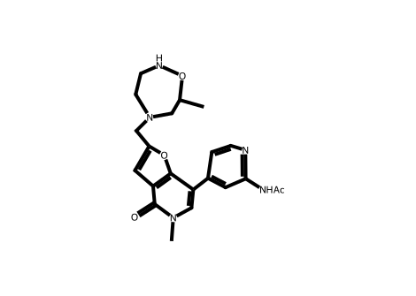 CC(=O)Nc1cc(-c2cn(C)c(=O)c3cc(CN4CCNOC(C)C4)oc23)ccn1